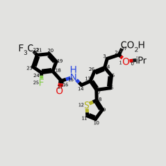 CC(C)OC(Cc1ccc(-c2cccs2)c(CNC(=O)c2ccc(C(F)(F)F)cc2F)c1)C(=O)O